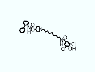 O=C(Nc1ccccc1-c1ccccc1)OC1CCN(CCCCCCCCCNC(=O)c2cc(Cl)c(O)c(Cl)c2)CC1